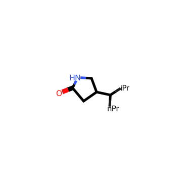 CCCC(C(C)C)C1CNC(=O)C1